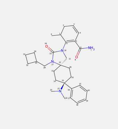 CC1CC=CC(C(N)=O)=C1N1C[C@]2(CC[C@](c3ccccc3)(N(C)C)CC2)N(CC2CCC2)C1=O